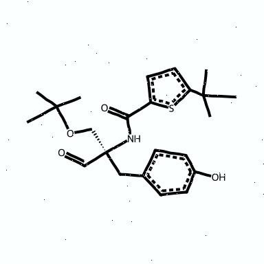 CC(C)(C)OC[C@@](C=O)(Cc1ccc(O)cc1)NC(=O)c1ccc(C(C)(C)C)s1